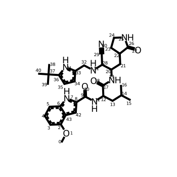 COc1cccc2[nH]c(C(=O)NC(CC(C)C)C(=O)NC(CC3CCNC3=O)C(C#N)NCc3ccc(C(C)(C)C)[nH]3)cc12